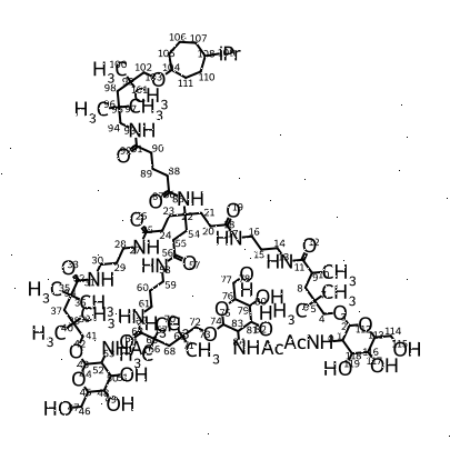 CC(=O)NC1C(OCC(C)(C)CC(C)C(=O)NCCCNC(=O)CCC(CCC(=O)NCCCNC(=O)C(C)(C)CC(C)(C)COC2OC(CO)C(O)C(O)C2NC(C)=O)(CCC(=O)NCCCNC(=O)C(C)(C)CC(C)(C)COC2OC(CO)C(O)C(O)C2NC(C)=O)NC(=O)CCCC(=O)NCC(C)(C)CC(C)(C)COC2CCCC(C(C)C)CC2)OC(CO)C(O)C1O